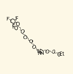 CCOCCOCCOCc1cn(CCOCCOCCOCCOCCC(=O)Oc2c(F)cc(F)cc2F)nn1